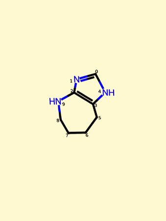 c1nc2c([nH]1)CCCCN2